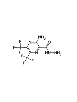 NNC(=O)c1nc(C(F)(F)F)c(C(F)(F)F)nc1N